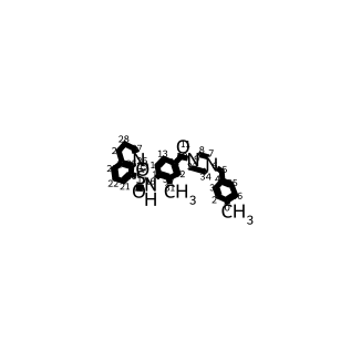 Cc1ccc(CN2CCN(C(=O)c3ccc(NS(=O)(=O)c4cccc5c4N=CCC5)c(C)c3)CC2)cc1